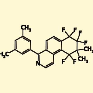 Cc1cc(C)cc(-c2nccc3c4c(ccc23)C(F)(F)C(F)(F)C(C)(C)C4(F)F)c1